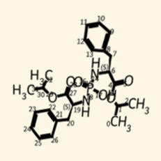 CC(C)OC(=O)[C@H](Cc1ccccc1)NP(=O)(O)N[C@@H](Cc1ccccc1)C(=O)OC(C)C